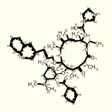 CC[C@H]1OC(=O)[C@H](C)C(=O)[C@H](C)[C@@H](O[C@@H]2O[C@H](C)C[C@H](N(C)C)[C@H]2OC(=O)c2ccccc2)[C@](C)(OC/C=C/c2cnc3ccccc3c2)C[C@@H](C)C(=O)/C(C)=C/[C@]1(C)OC(O)n1ccnc1